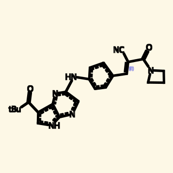 CC(C)(C)C(=O)c1c[nH]c2ncc(Nc3ccc(/C=C(\C#N)C(=O)N4CCC4)cc3)nc12